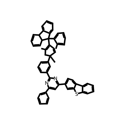 CC1=C(C2(c3ccccc3C)c3ccccc3C3C=CC=CC32)C=CC(C)(c2cccc(-c3nc(-c4ccccc4)cc(-c4ccc5c(c4)sc4ccccc45)n3)c2)C1